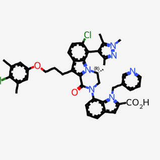 Cc1cc(OCCCc2c3n(c4c(-c5c(C)nn(C)c5C)c(Cl)ccc24)[C@H](C)CN(c2cccc4cc(C(=O)O)n(Cc5cccnc5)c24)C3=O)cc(C)c1Cl